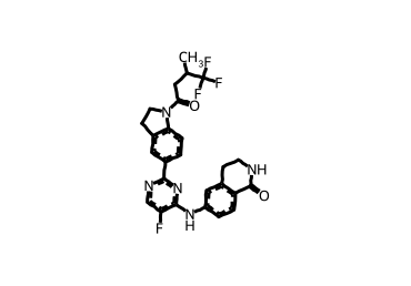 CC(CC(=O)N1CCc2cc(-c3ncc(F)c(Nc4ccc5c(c4)CCNC5=O)n3)ccc21)C(F)(F)F